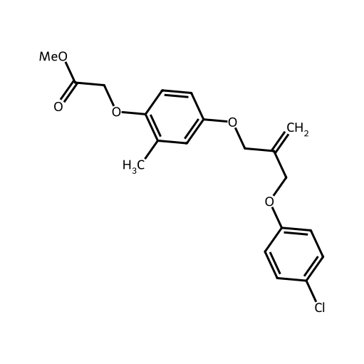 C=C(COc1ccc(Cl)cc1)COc1ccc(OCC(=O)OC)c(C)c1